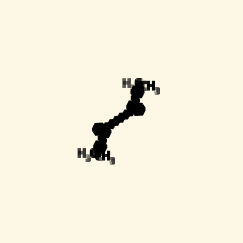 CN(C)c1ccc(/C=C/c2cc[n+](CCCCCCCCCC[n+]3ccc(/C=C/c4ccc(N(C)C)cc4)c4ccccc43)c3ccccc23)cc1